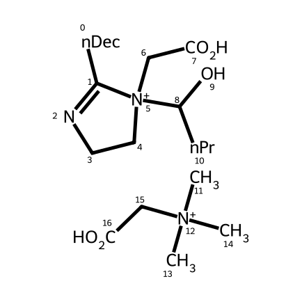 CCCCCCCCCCC1=NCC[N+]1(CC(=O)O)C(O)CCC.C[N+](C)(C)CC(=O)O